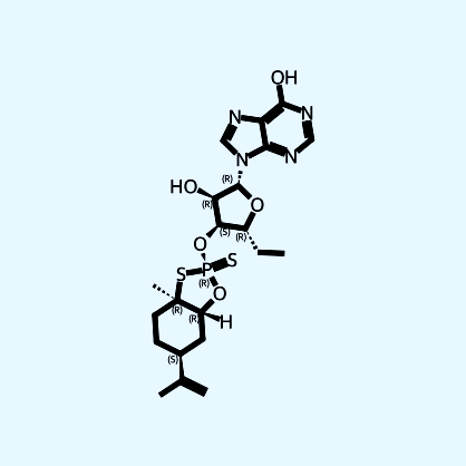 C=C(C)[C@H]1CC[C@@]2(C)S[P@](=S)(O[C@H]3[C@@H](O)[C@H](n4cnc5c(O)ncnc54)O[C@@H]3CC)O[C@@H]2C1